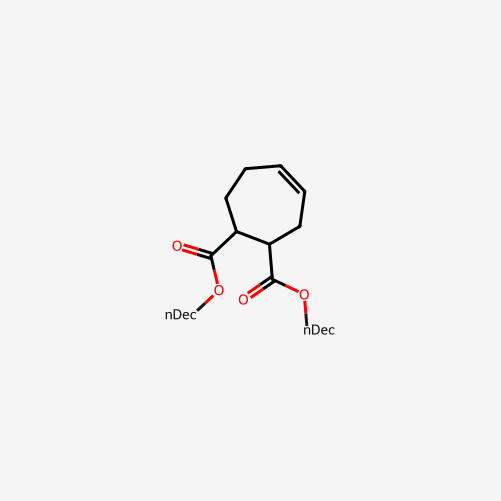 CCCCCCCCCCOC(=O)C1CC=CCCC1C(=O)OCCCCCCCCCC